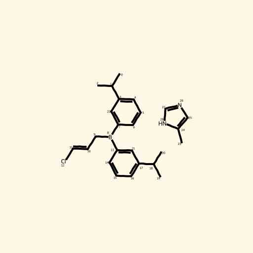 CC(C)c1cccc(B(CC=CCl)c2cccc(C(C)C)c2)c1.Cc1cnc[nH]1